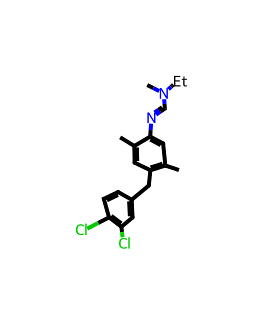 CCN(C)C=Nc1cc(C)c(Cc2ccc(Cl)c(Cl)c2)cc1C